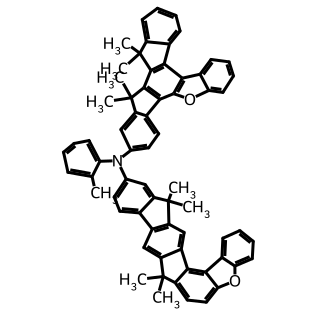 Cc1ccccc1N(c1ccc2c(c1)C(C)(C)c1cc3c(cc1-2)C(C)(C)c1ccc2oc4ccccc4c2c1-3)c1ccc2c(c1)C(C)(C)c1c3c(c4c(oc5ccccc54)c1-2)-c1ccccc1C3(C)C